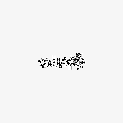 O=C(NC[C@H](O)CN1CCc2ccccc2C1)c1ccc2c(c1)NC(=O)C1(CN(C(=O)C3(C(=O)NC4CCC4)CC3)C1)O2